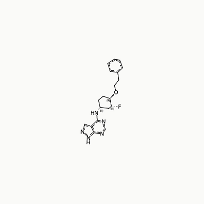 F[C@@H]1C[C@H](Nc2ncnc3[nH]ncc23)CC[C@H]1OCCc1ccccc1